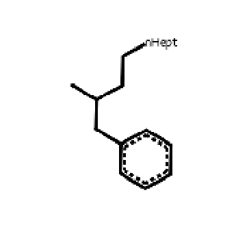 CCCCCCCCCC(C)Cc1ccccc1